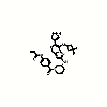 C=CC(=O)Nc1ccc(C(=O)N2CCC[C@@H](Nc3nc4cnc(-c5cn[nH]c5)c(OC5CC(F)(F)C5)n4n3)C2)cc1